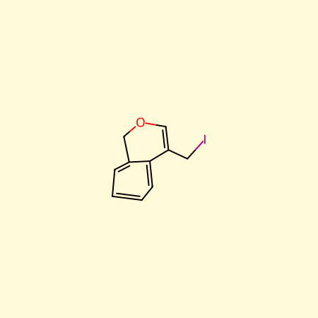 ICC1=COCc2ccccc21